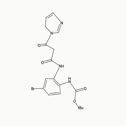 CC(C)(C)OC(=O)Nc1ccc(Br)cc1NC(=O)CC(=O)N1C=NC=CC1